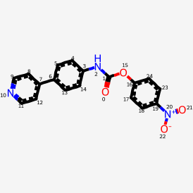 O=C(Nc1ccc(-c2ccncc2)cc1)Oc1ccc([N+](=O)[O-])cc1